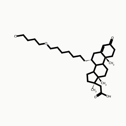 C[C@]1(CC(=O)O)CCC2C3C(CC[C@@]21C)[C@@]1(C)CCC(=O)C=C1C[C@H]3CCCCCCCOCCCCCl